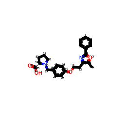 Cc1oc(-c2ccccc2)nc1CCOc1ccc(CN2CCC[C@H]2C(=O)O)cc1